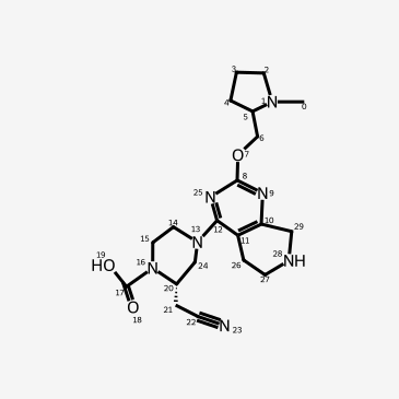 CN1CCCC1COc1nc2c(c(N3CCN(C(=O)O)[C@@H](CC#N)C3)n1)CCNC2